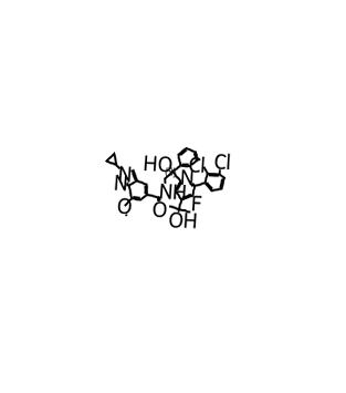 COc1cc(C(=O)NC[C@@](O)(c2ccccc2)c2cc(C(C)(C)O)c(F)c(-c3cccc(Cl)c3Cl)n2)cc2cn(C3CC3)nc12